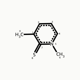 Cc1cccn(C)c1=S